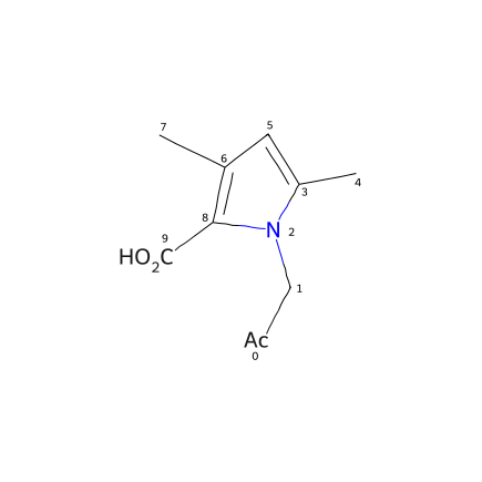 CC(=O)Cn1c(C)cc(C)c1C(=O)O